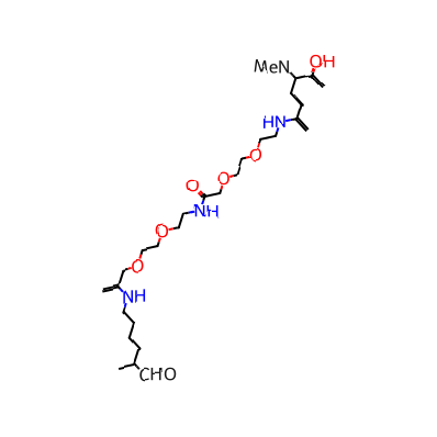 C=C(CCC(NC)C(=C)O)NCCOCCOCC(=O)NCCOCCOCC(=C)NCCCCC(C)C=O